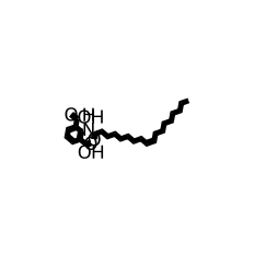 CCCCCCCC/C=C\CCCCCCCC(=O)Nc1c(C(=O)O)cccc1C(=O)O